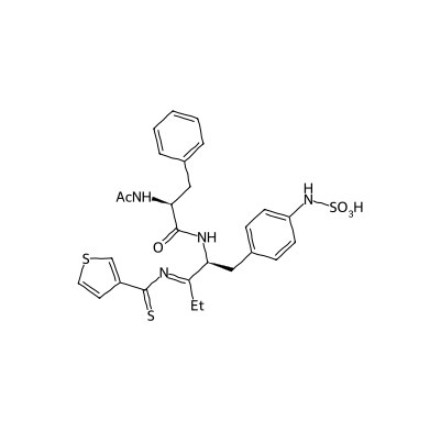 CC/C(=N\C(=S)c1ccsc1)[C@H](Cc1ccc(NS(=O)(=O)O)cc1)NC(=O)[C@H](Cc1ccccc1)NC(C)=O